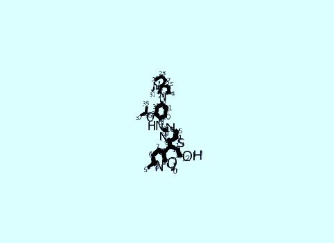 COc1nc(C)ccc1-c1c(CO)sc2cnc(Nc3ccc(N4CCC5(CCCN5C)C4)cc3OC(C)C)nc12